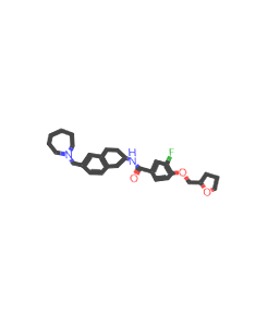 O=C(NC1CCc2cc(CN3CCCCCC3)ccc2C1)c1ccc(OCC2CCCO2)c(F)c1